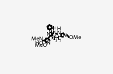 CNC(O)c1cc(-c2nn(-c3ccccc3)c(NC(=O)N[C@@H]3CN(CCOC)C[C@H]3C)c2C)cnc1OC